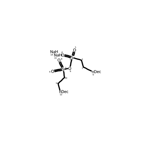 CCCCCCCCCCCCS(=O)(=O)OS(=O)(=O)CCCCCCCCCCCC.[NaH].[NaH]